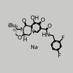 CC[C@H](C)[C@H]1CO[C@@H]2Cn3cc(C(=O)NCc4ccc(F)cc4F)c(=O)c(O)c3C(=O)N12.[Na]